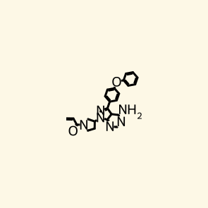 C=CC(=O)N1CCC(N2N=C(c3ccc(Oc4ccccc4)cc3)C3C2=NC=NC3N)C1